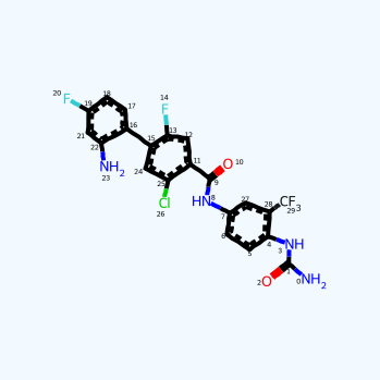 NC(=O)Nc1ccc(NC(=O)c2cc(F)c(-c3ccc(F)cc3N)cc2Cl)cc1C(F)(F)F